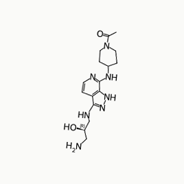 CC(=O)N1CCC(Nc2nccc3c(NC[C@H](O)CN)n[nH]c23)CC1